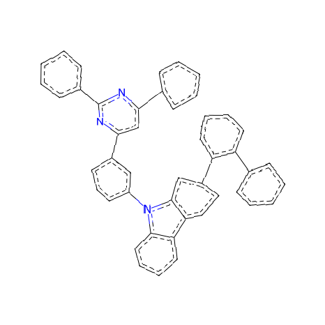 c1ccc(-c2cc(-c3cccc(-n4c5ccccc5c5ccc(-c6ccccc6-c6ccccc6)cc54)c3)nc(-c3ccccc3)n2)cc1